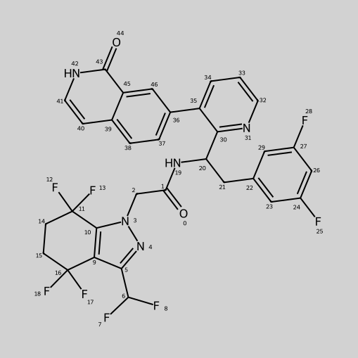 O=C(Cn1nc(C(F)F)c2c1C(F)(F)CCC2(F)F)NC(Cc1cc(F)cc(F)c1)c1ncccc1-c1ccc2cc[nH]c(=O)c2c1